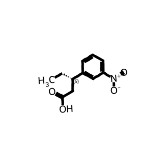 CC[C@@H](CC(=O)O)c1cccc([N+](=O)[O-])c1